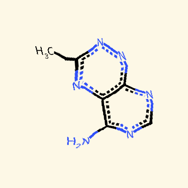 Cc1nnc2ncnc(N)c2n1